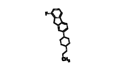 CCCC1CCC(c2ccc3c(c2)Cc2c(F)cccc2-3)CC1